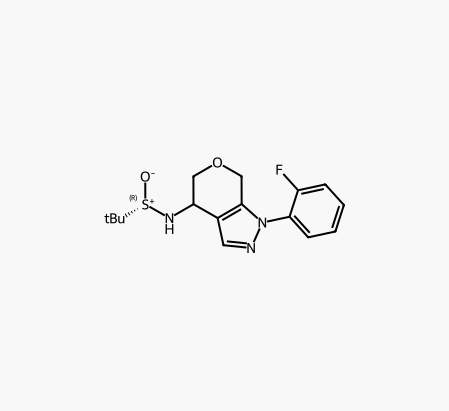 CC(C)(C)[S@+]([O-])NC1COCc2c1cnn2-c1ccccc1F